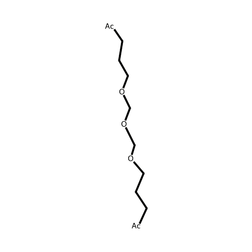 CC(=O)CCCOCOCOCCCC(C)=O